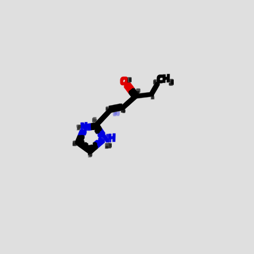 CCC(=O)/C=C/c1ncc[nH]1